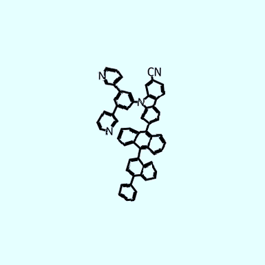 N#Cc1ccc2c3ccc(-c4c5ccccc5c(-c5ccc(-c6ccccc6)c6ccccc56)c5ccccc45)cc3n(-c3cc(-c4cccnc4)cc(-c4cccnc4)c3)c2c1